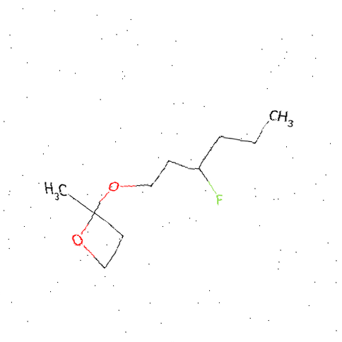 CCCC(F)CCOC1(C)CCO1